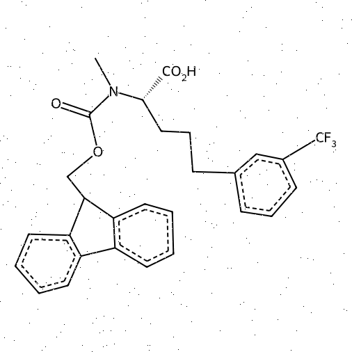 CN(C(=O)OCC1c2ccccc2-c2ccccc21)[C@@H](CCCc1cccc(C(F)(F)F)c1)C(=O)O